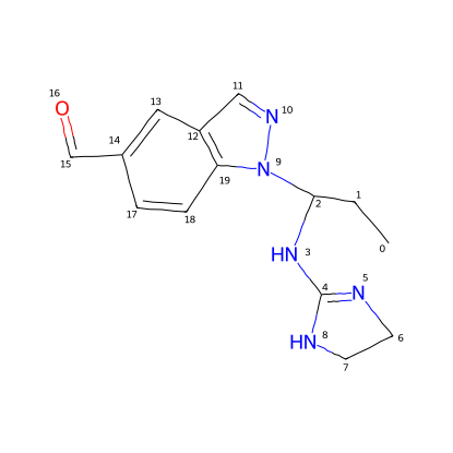 CCC(NC1=NCCN1)n1ncc2cc(C=O)ccc21